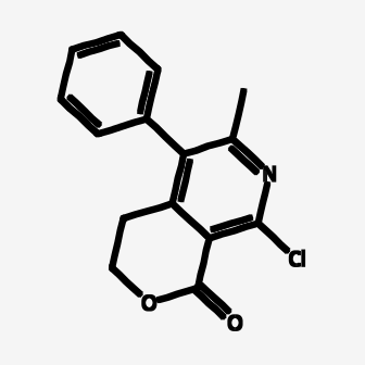 Cc1nc(Cl)c2c(c1-c1ccccc1)CCOC2=O